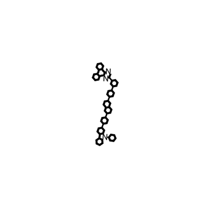 c1ccc(-n2c3ccccc3c3ccc(-c4ccc(-c5ccc6cc(-c7ccc(-c8cccc(-c9cnc%10c%11ccccc%11c%11ccccc%11c%10n9)c8)cc7)ccc6c5)cc4)cc32)cc1